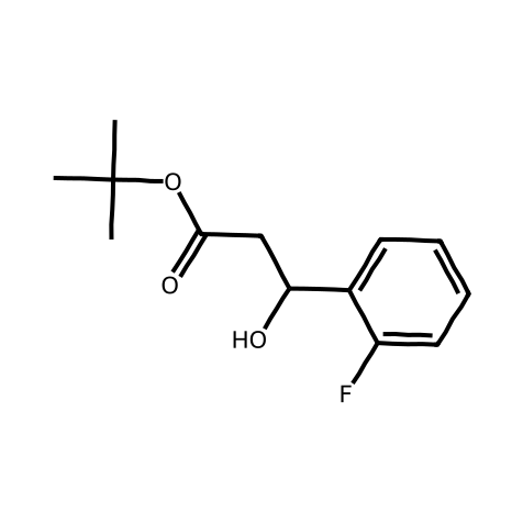 CC(C)(C)OC(=O)CC(O)c1ccccc1F